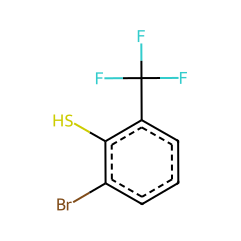 FC(F)(F)c1cccc(Br)c1S